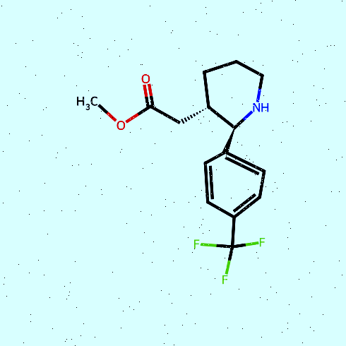 COC(=O)C[C@@H]1CCCN[C@H]1c1ccc(C(F)(F)F)cc1